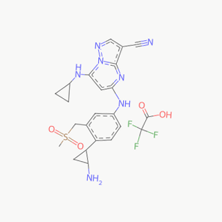 CS(=O)(=O)Cc1cc(Nc2cc(NC3CC3)n3ncc(C#N)c3n2)ccc1C1CC1N.O=C(O)C(F)(F)F